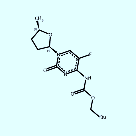 CCC(C)COC(=O)Nc1nc(=O)n([C@H]2CC[C@@H](C)O2)cc1F